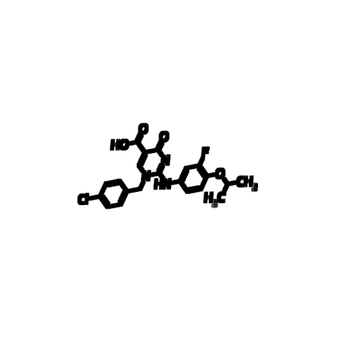 CC(C)Oc1ccc(Nc2nc(=O)c(C(=O)O)cn2Cc2ccc(Cl)cc2)cc1F